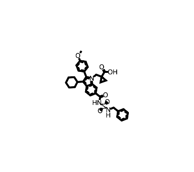 COc1ccc(-c2c(C3CCCCC3)c3ccc(C(=O)NS(=O)(=O)NCc4ccccc4)cc3n2CC2(C(=O)O)CC2)cc1